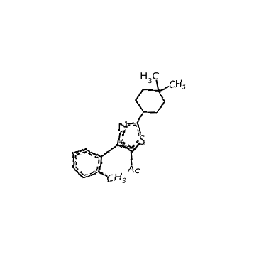 CC(=O)c1sc(C2CCC(C)(C)CC2)nc1-c1ccccc1C